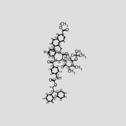 COC(=O)c1ccc2c(CN3C(=O)C(NC(=O)C(C)N(C)C(=O)OC(C)(C)C)CN(C(=O)c4ccc(NC(=O)OCC5c6ccccc6-c6ccccc65)cc4)c4ccccc43)c(OC)ccc2c1